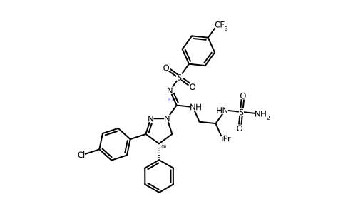 CC(C)C(CN/C(=N\S(=O)(=O)c1ccc(C(F)(F)F)cc1)N1C[C@H](c2ccccc2)C(c2ccc(Cl)cc2)=N1)NS(N)(=O)=O